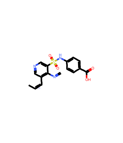 C=Nc1c(/C=C\C)cncc1S(=O)(=O)Nc1ccc(C(=O)O)cc1